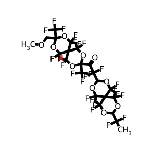 COCC1(C(F)(F)F)OC(F)(F)C2(C(F)(F)O1)C(F)(F)OC(C(=O)C(F)(F)C1OC(F)(F)C3(C(F)(F)OC(C(C)(F)F)OC3(F)F)C(F)(F)O1)(C(F)(F)F)OC2(F)F